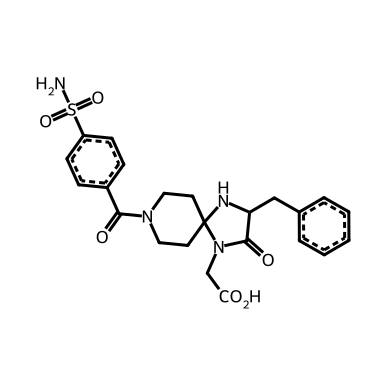 NS(=O)(=O)c1ccc(C(=O)N2CCC3(CC2)NC(Cc2ccccc2)C(=O)N3CC(=O)O)cc1